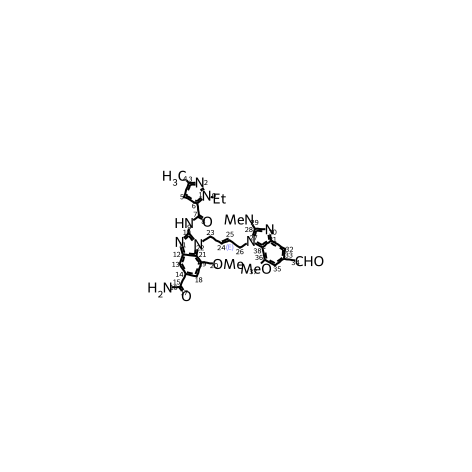 CCn1nc(C)cc1C(=O)Nc1nc2cc(C(N)=O)cc(OC)c2n1C/C=C/Cn1c(NC)nc2cc(C=O)cc(OC)c21